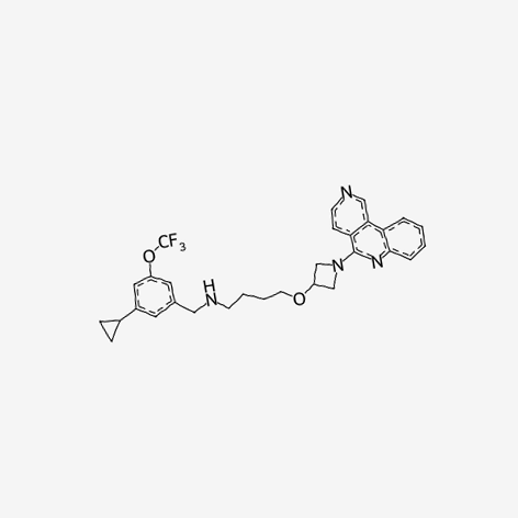 FC(F)(F)Oc1cc(CNCCCCOC2CN(c3nc4ccccc4c4cnccc34)C2)cc(C2CC2)c1